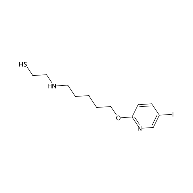 SCCNCCCCCOc1ccc(I)cn1